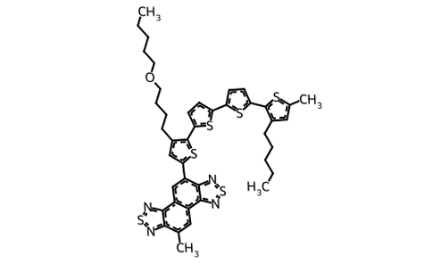 CCCCCOCCCCc1cc(-c2cc3c(cc(C)c4nsnc43)c3nsnc23)sc1-c1ccc(-c2ccc(-c3sc(C)cc3CCCCC)s2)s1